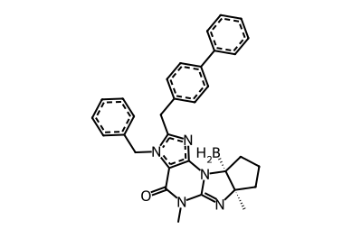 B[C@]12CCC[C@@]1(C)N=C1N(C)C(=O)c3c(nc(Cc4ccc(-c5ccccc5)cc4)n3Cc3ccccc3)N12